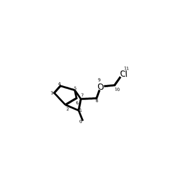 CC1C2CCC(C2)C1COCCl